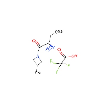 COC[C@@H](N)C(=O)N1CC(C#N)C1.O=C(O)C(F)(F)F